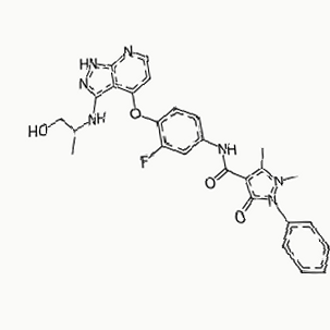 Cc1c(C(=O)Nc2ccc(Oc3ccnc4[nH]nc(NC(C)CO)c34)c(F)c2)c(=O)n(-c2ccccc2)n1C